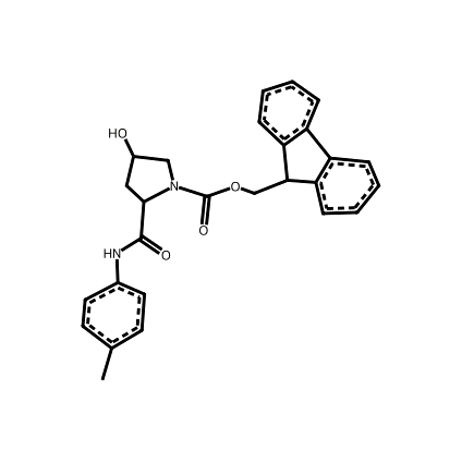 Cc1ccc(NC(=O)C2CC(O)CN2C(=O)OCC2c3ccccc3-c3ccccc32)cc1